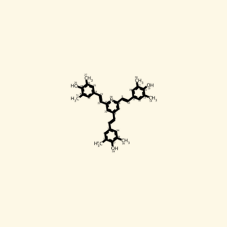 Cc1cc(C=Cc2cc(C=Cc3cc(C)c(O)c(C)c3)nc(C=Cc3cc(C)c(O)c(C)c3)c2)cc(C)c1O